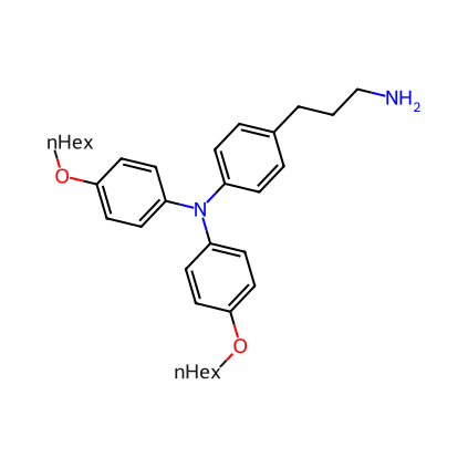 CCCCCCOc1ccc(N(c2ccc(CCCN)cc2)c2ccc(OCCCCCC)cc2)cc1